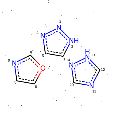 c1c[nH]nn1.c1cocn1.c1nc[nH]n1